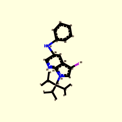 CC(C)[Si](C(C)C)(C(C)C)n1cc(I)c2cc(Nc3ccccc3)cnc21